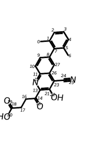 Cc1cccc(C)c1-c1ccc2nc(C(=O)CCC(=O)O)c(O)c(C#N)c2c1